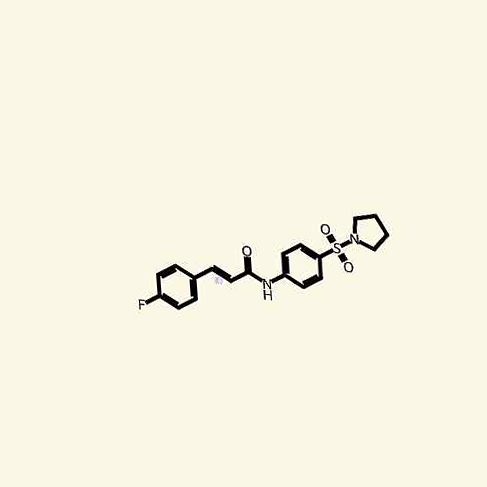 O=C(/C=C/c1ccc(F)cc1)Nc1ccc(S(=O)(=O)N2CCCC2)cc1